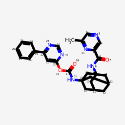 Cc1cncc(C(=O)NC23CC4CC(CC(NC(=O)Oc5cc(-c6ccccc6)ncn5)(C4)C2)C3)n1